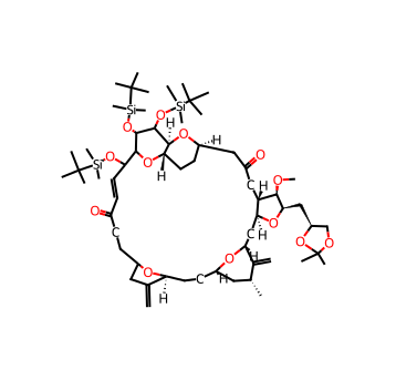 C=C1CC2CCC(=O)/C=C/C(O[Si](C)(C)C(C)(C)C)C3O[C@H]4CC[C@H](CC(=O)C[C@@H]5[C@@H](OC)[C@@H](C[C@H]6COC(C)(C)O6)O[C@H]5C[C@H]5O[C@@H](CC[C@@H]1O2)C[C@@H](C)C5=C)O[C@@H]4C(O[Si](C)(C)C(C)(C)C)C3O[Si](C)(C)C(C)(C)C